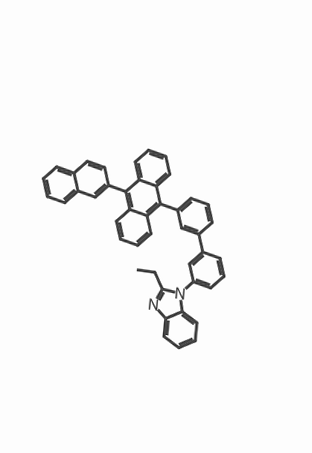 CCc1nc2ccccc2n1-c1cccc(-c2cccc(-c3c4ccccc4c(-c4ccc5ccccc5c4)c4ccccc34)c2)c1